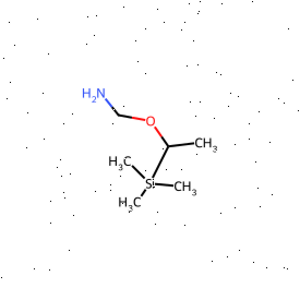 CC(OCN)[Si](C)(C)C